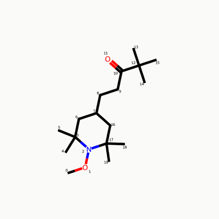 CON1C(C)(C)CC(CCC(=O)C(C)(C)C)CC1(C)C